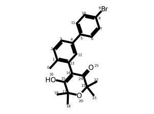 Cc1ccc(-c2ccc(Br)cc2)cc1C1=C(O)C(C)(C)OC(C)(C)C1=O